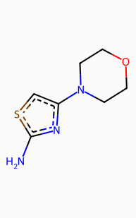 Nc1nc(N2CCOCC2)cs1